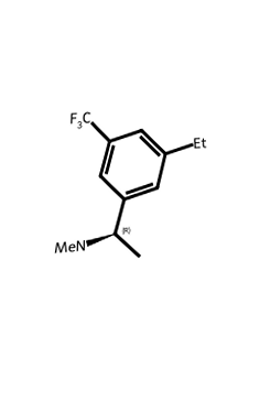 CCc1cc([C@@H](C)NC)cc(C(F)(F)F)c1